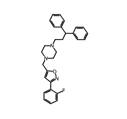 Fc1ccccc1-c1cc(CN2CCN(CCC(c3ccccc3)c3ccccc3)CC2)on1